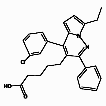 CCc1ccc2c(-c3cccc(Cl)c3)c(CCCCC(=O)O)c(-c3ccccc3)nn12